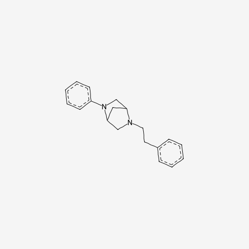 c1ccc(CCN2CC3CC2CN3c2ccccc2)cc1